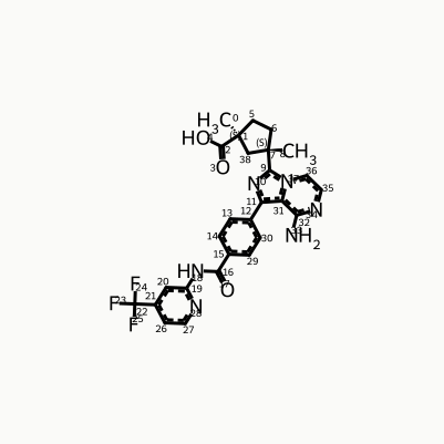 C[C@]1(C(=O)O)CC[C@](C)(c2nc(-c3ccc(C(=O)Nc4cc(C(F)(F)F)ccn4)cc3)c3c(N)nccn23)C1